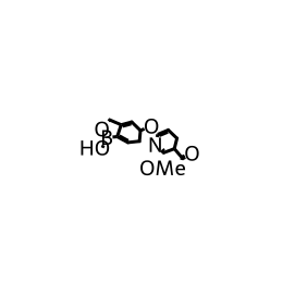 COC(=O)C1C=NC(OC2C=C3COB(O)C3=CC2)=CC1